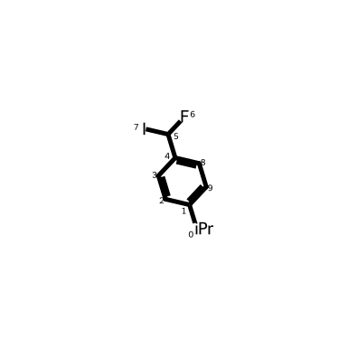 CC(C)c1ccc(C(F)I)cc1